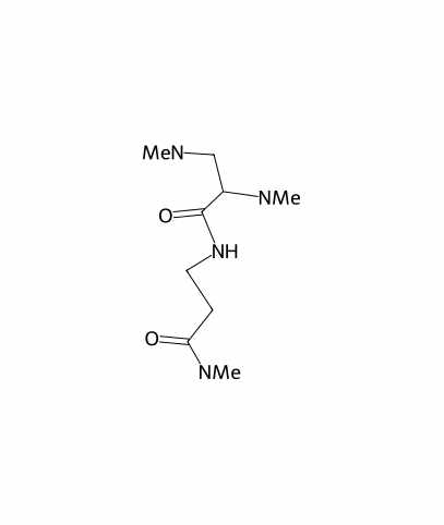 CNCC(NC)C(=O)NCCC(=O)NC